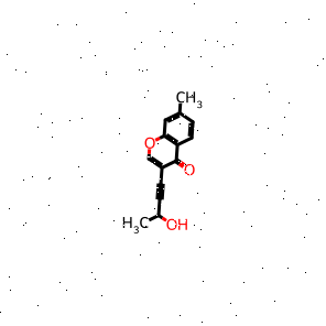 Cc1ccc2c(=O)c(C#CC(C)O)coc2c1